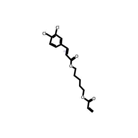 C=CC(=O)OCCCCCOC(=O)/C=C/c1ccc(Cl)c(Cl)c1